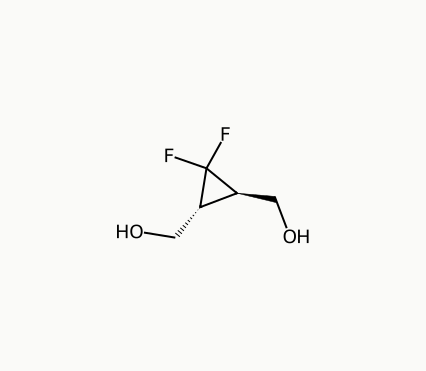 OC[C@H]1[C@H](CO)C1(F)F